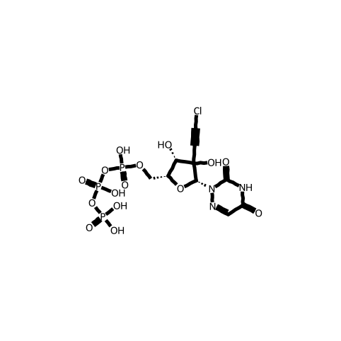 O=c1cnn([C@@H]2O[C@H](COP(=O)(O)OP(=O)(O)OP(=O)(O)O)[C@H](O)C2(O)C#CCl)c(=O)[nH]1